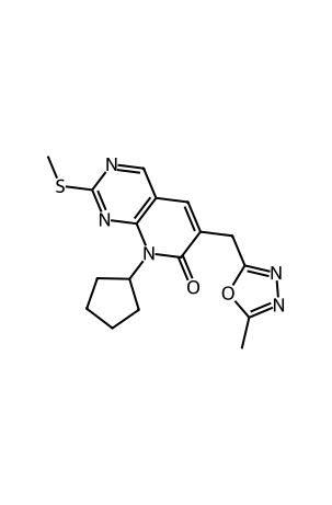 CSc1ncc2cc(Cc3nnc(C)o3)c(=O)n(C3CCCC3)c2n1